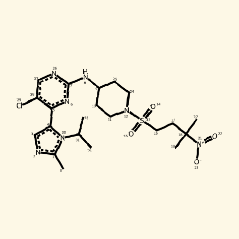 Cc1ncc(-c2nc(NC3CCN(S(=O)(=O)CCC(C)(C)[N+](=O)[O-])CC3)ncc2Cl)n1C(C)C